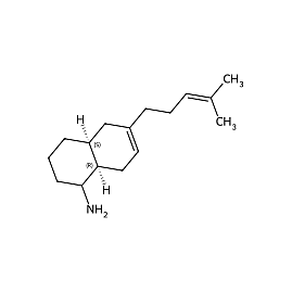 CC(C)=CCCC1=CC[C@H]2C(N)CCC[C@H]2C1